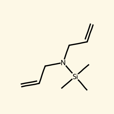 C=CCN(CC=C)[Si](C)(C)C